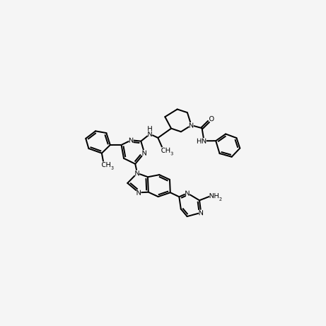 Cc1ccccc1-c1cc(-n2cnc3cc(-c4ccnc(N)n4)ccc32)nc(NC(C)C2CCCN(C(=O)Nc3ccccc3)C2)n1